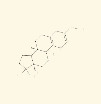 COC1=CCC2=C(CC[C@@H]3[C@@H]2CC[C@@]2(C)[C@H]3CCC2(O)O)C1